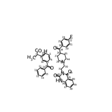 CC(C(=O)O)c1cccc(C(=O)c2ccccc2)c1.O=C(c1ccc(F)cc1)C1CCN(CCn2c(=O)[nH]c3ccccc3c2=O)CC1